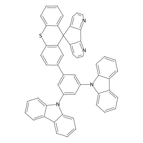 c1ccc2c(c1)Sc1ccc(-c3cc(-n4c5ccccc5c5ccccc54)cc(-n4c5ccccc5c5ccccc54)c3)cc1C21c2cccnc2-c2ncccc21